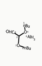 CCCCOC([C]=O)OCCCC.[AlH3]